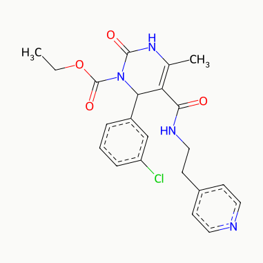 CCOC(=O)N1C(=O)NC(C)=C(C(=O)NCCc2ccncc2)C1c1cccc(Cl)c1